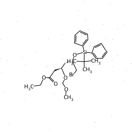 CCOC(=O)C[C@@H](C[C@@H](CBr)O[Si](c1ccccc1)(c1ccccc1)C(C)(C)C)OCOC